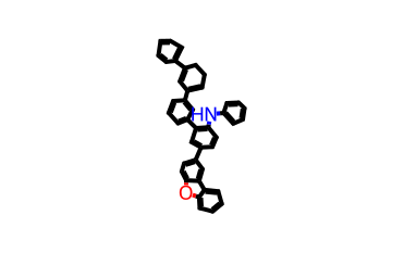 C1=C(c2cccc(-c3cc(-c4ccc5oc6ccccc6c5c4)ccc3Nc3ccccc3)c2)C=C(c2ccccc2)CC1